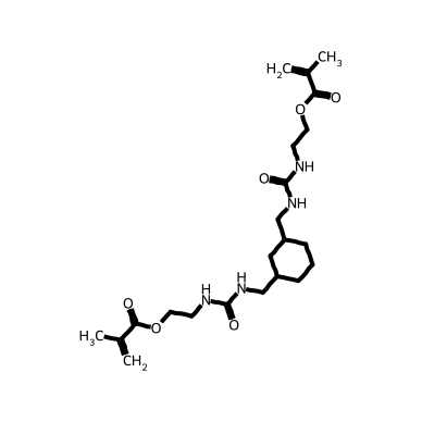 C=C(C)C(=O)OCCNC(=O)NCC1CCCC(CNC(=O)NCCOC(=O)C(=C)C)C1